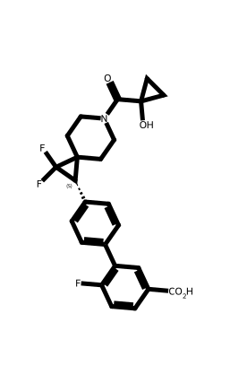 O=C(O)c1ccc(F)c(-c2ccc([C@@H]3C(F)(F)C34CCN(C(=O)C3(O)CC3)CC4)cc2)c1